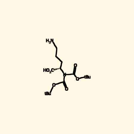 CC(C)(C)OC(=O)N(C(=O)OC(C)(C)C)[C@@H](CCCN)C(=O)O